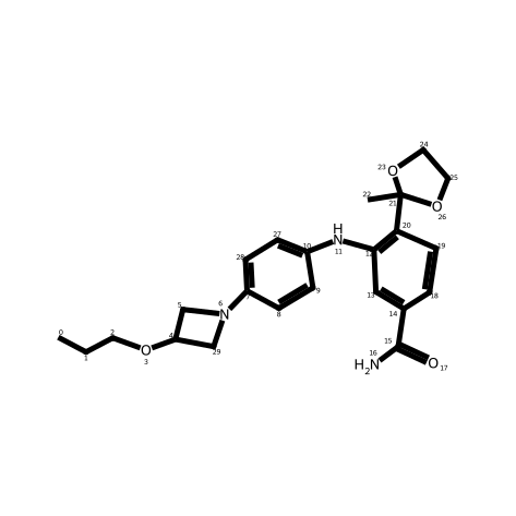 CCCOC1CN(c2ccc(Nc3cc(C(N)=O)ccc3C3(C)OCCO3)cc2)C1